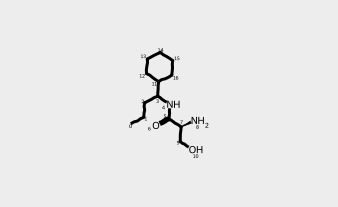 CCCC(NC(=O)[C@@H](N)CO)C1CCCCC1